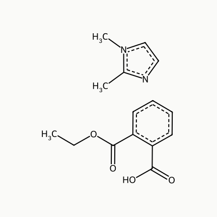 CCOC(=O)c1ccccc1C(=O)O.Cc1nccn1C